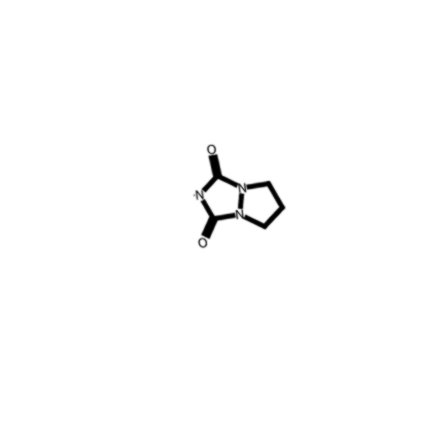 O=C1[N]C(=O)N2CCCN12